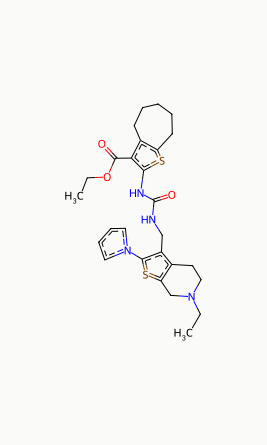 CCOC(=O)c1c(NC(=O)NCc2c(-n3cccc3)sc3c2CCN(CC)C3)sc2c1CCCCC2